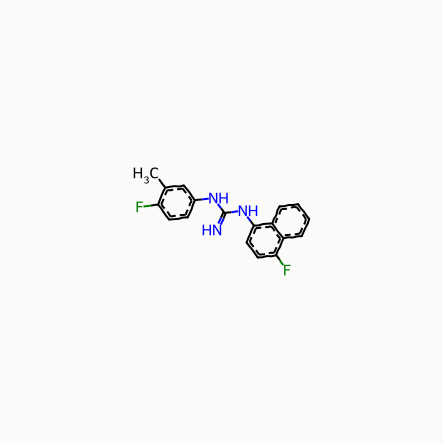 Cc1cc(NC(=N)Nc2ccc(F)c3ccccc23)ccc1F